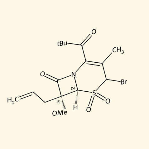 C=CC[C@@]1(OC)C(=O)N2C(C(=O)C(C)(C)C)=C(C)C(Br)S(=O)(=O)[C@H]21